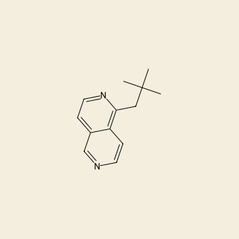 CC(C)(C)Cc1nccc2cnccc12